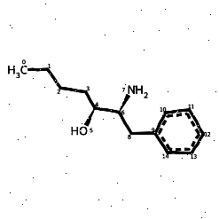 CCCC[C@H](O)[C@@H](N)Cc1ccccc1